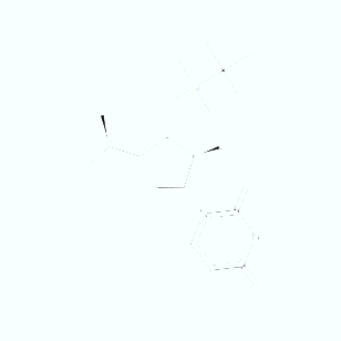 C[C@H](O)[C@H]1O[C@@H](n2ccc(=O)[nH]c2=O)[C@H](F)[C@H]1O[Si](C)(C)C(C)(C)C